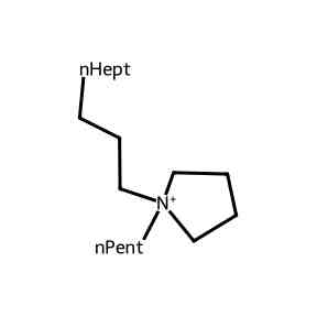 CCCCCCCCCC[N+]1(CCCCC)CCCC1